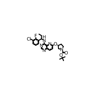 CCC(Nc1ncnc2ccc(O[C@H]3CCN(C(=O)OC(C)(C)C)C3)nc12)c1cccc(Cl)c1F